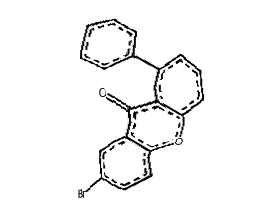 O=c1c2cc(Br)ccc2oc2cccc(-c3ccccc3)c12